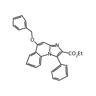 CCOC(=O)c1nc2cc(OCc3ccccc3)c3ccccc3n2c1-c1ccccc1